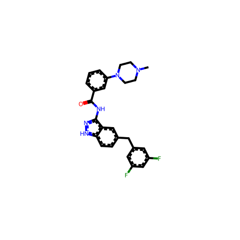 CN1CCN(c2cccc(C(=O)Nc3n[nH]c4ccc(Cc5cc(F)cc(F)c5)cc34)c2)CC1